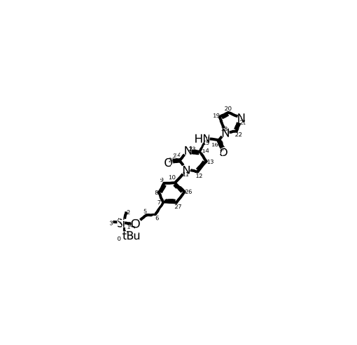 CC(C)(C)[Si](C)(C)OCCc1ccc(-n2ccc(NC(=O)n3ccnc3)nc2=O)cc1